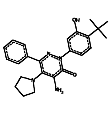 CC(C)(C)c1ccc(-n2nc(-c3ccccc3)c(N3CCCC3)c(N)c2=O)cc1O